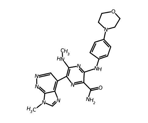 CNc1nc(Nc2ccc(N3CCOCC3)cc2)c(C(N)=O)nc1-c1cnnc2c1ncn2C